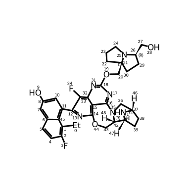 CCc1c(F)ccc2cc(O)cc(-c3nc4c5c(nc(OC[C@@]67CCCN6[C@@H](CO)CC7)nc5c3F)N3C[C@@H]5CC[C@@H](N5)[C@@H]3CO4)c12